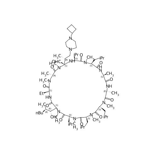 CCCC[C@@H](C)[C@@H](O)[C@H]1C(=O)N[C@@H](CC)C(=O)N(C)[C@H](C)C(=O)N(C)[C@](C=O)([C@H](C)CN2CCN(C3CCC3)CC2)N[C@@H](C(C)C)C(=O)N(C)[C@@H](CC(C)C)C(=O)N[C@@H](C)C(=O)N[C@H](C)C(=O)N(C)[C@@H](CC(C)C)C(=O)N(C)[C@@H](CC(C)C)C(=O)N(C)[C@@H](C(C)C)C(=O)N1C